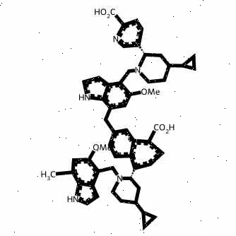 COc1cc(C)c2[nH]ccc2c1CN1CCC(C2CC2)C[C@H]1c1ccc(C(=O)O)c2cc(Cc3cc(OC)c(CN4CCC(C5CC5)C[C@H]4c4ccc(C(=O)O)nc4)c4cc[nH]c34)ccc12